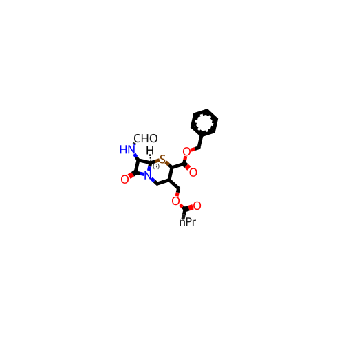 CCCC(=O)OCC1CN2C(=O)C(NC=O)[C@H]2SC1C(=O)OCc1ccccc1